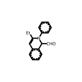 CCC1=Cc2ccccc2C(C=O)N1c1ccccc1